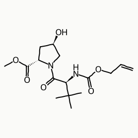 C=CCOC(=O)N[C@H](C(=O)N1C[C@H](O)C[C@H]1C(=O)OC)C(C)(C)C